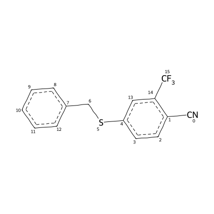 N#Cc1ccc(SCc2ccccc2)cc1C(F)(F)F